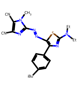 [C-]#[N+]c1nc(/N=N/c2sc(N(CC)CC)nc2-c2ccc(C(C)CC)cc2)n(C)c1[N+]#[C-]